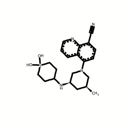 C[C@H]1C[C@@H](NC2CCS(O)(O)CC2)CN(c2ccc(C#N)c3ncccc23)C1